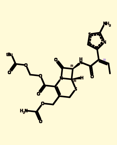 C/C=C(\C(=O)N[C@@H]1C(=O)N2C(C(=O)OCOC(=O)C(C)(C)C)=C(COC(N)=O)CS[C@@H]12)c1csc(N)n1